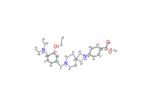 CCOc1cc(CN2CCC3(CC2)CN(c2ccc(C(=O)OC)cc2)C3)ccc1N(CC)CC